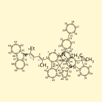 CC/C(=C\C=C(/C)c1ccc(N(c2ccc(-c3ccccc3)cc2)c2ccc3c(c2)C(C)(C)c2ccccc2-3)c2c1-c1ccccc1C21c2ccccc2Sc2ccccc21)n1c2ccccc2c2ccccc21